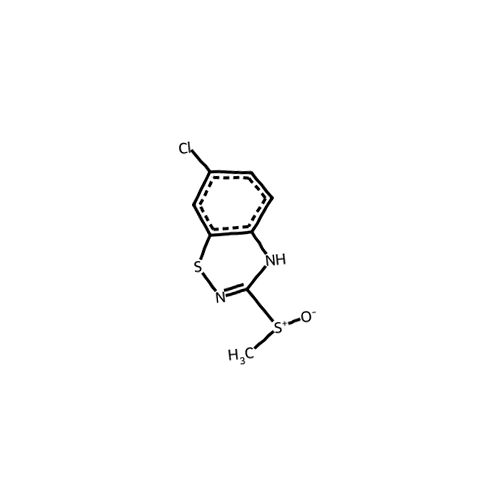 C[S+]([O-])C1=NSc2cc(Cl)ccc2N1